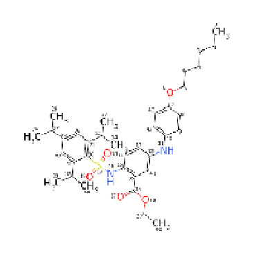 CCCCCCOc1ccc(Nc2ccc(NS(=O)(=O)c3c(C(C)C)cc(C(C)C)cc3C(C)C)c(C(=O)OCC)c2)cc1